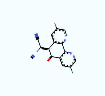 [C-]#[N+]/C(C#N)=C1\C(=O)c2cc(Cl)cnc2-c2ncc(Cl)cc21